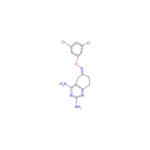 Nc1nc(N)c2c(n1)CC/C(=N/Oc1cc(Cl)cc(Cl)c1)C2